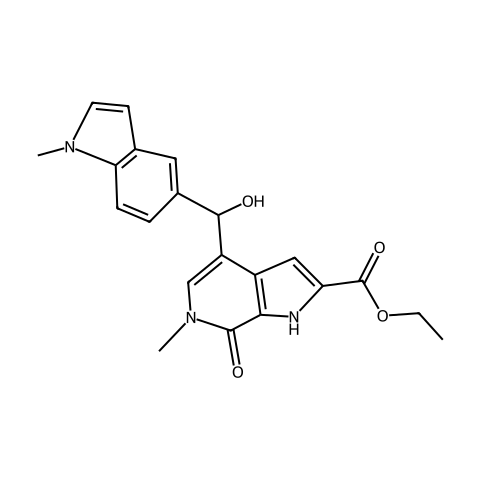 CCOC(=O)c1cc2c(C(O)c3ccc4c(ccn4C)c3)cn(C)c(=O)c2[nH]1